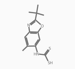 Cc1cc2nc(C(C)(C)C)oc2cc1NC(=S)S